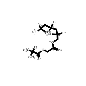 CCC(C)(C)C(=O)OCC(=O)OCC(F)(F)CC(F)(F)CC(C)(F)F